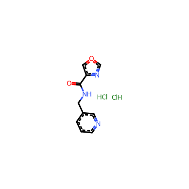 Cl.Cl.O=C(NCc1cccnc1)c1cocn1